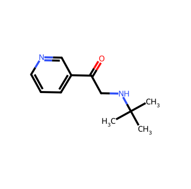 CC(C)(C)NCC(=O)c1cccnc1